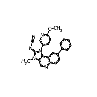 COc1ccc(-n2/c(=N\C#N)n(C)c3cnc4ccc(-c5ccccc5)cc4c32)cn1